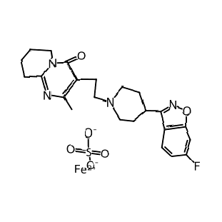 Cc1nc2n(c(=O)c1CCN1CCC(c3noc4cc(F)ccc34)CC1)CCCC2.O=S(=O)([O-])[O-].[Fe+2]